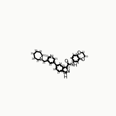 O=C(Nc1ccc2c(c1)OCCO2)c1n[nH]c2ccc(-c3cncc(CN4CCCCCC4)c3)cc12